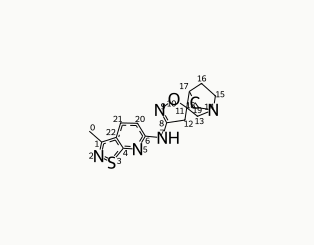 Cc1nsc2nc(NC3=NOC4(C3)CN3CCC4CC3)ccc12